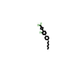 CCCCCC[C@H]1CC[C@H](c2ccc(C3CC(=C(F)F)C3)c(F)c2)CC1